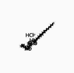 CCCCCCCCCCCCCCCCCCNC(=O)OCC(COC(=O)N(C)CCN(C)C)OC.Cl